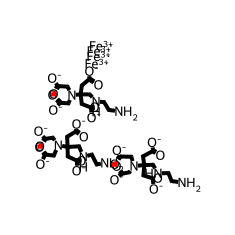 NCCNCC(CC(=O)[O-])(CC(=O)[O-])N(CC(=O)[O-])CC(=O)[O-].NCCNCC(CC(=O)[O-])(CC(=O)[O-])N(CC(=O)[O-])CC(=O)[O-].NCCNCC(CC(=O)[O-])(CC(=O)[O-])N(CC(=O)[O-])CC(=O)[O-].[Fe+3].[Fe+3].[Fe+3].[Fe+3]